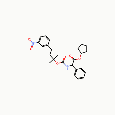 CC(C)(CCc1cccc([N+](=O)[O-])c1)OC(=O)NC(C(=O)OC1CCCC1)c1ccccc1